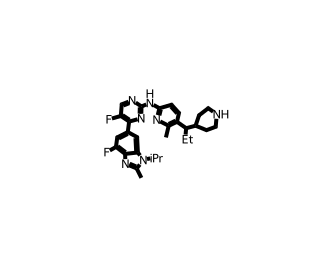 CCC(c1ccc(Nc2ncc(F)c(-c3cc(F)c4nc(C)n(C(C)C)c4c3)n2)nc1C)C1CCNCC1